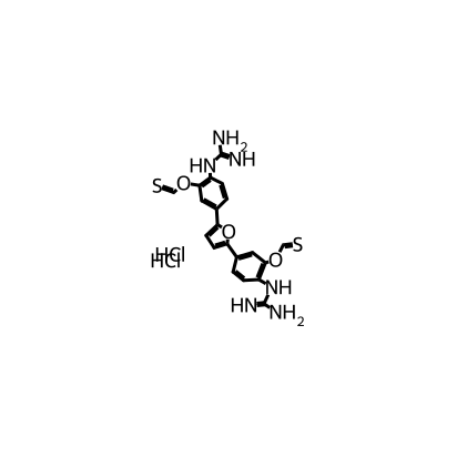 Cl.Cl.N=C(N)Nc1ccc(-c2ccc(-c3ccc(NC(=N)N)c(OC=S)c3)o2)cc1OC=S